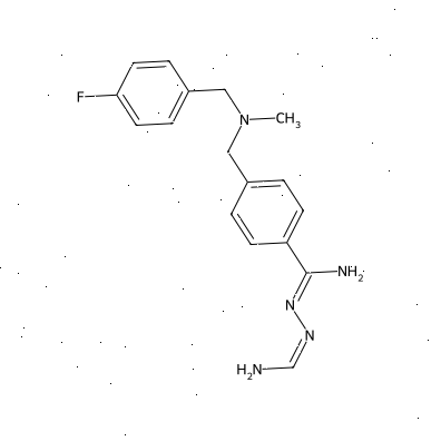 CN(Cc1ccc(F)cc1)Cc1ccc(/C(N)=N/N=C\N)cc1